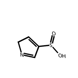 O=S(O)C1=CCN=C1